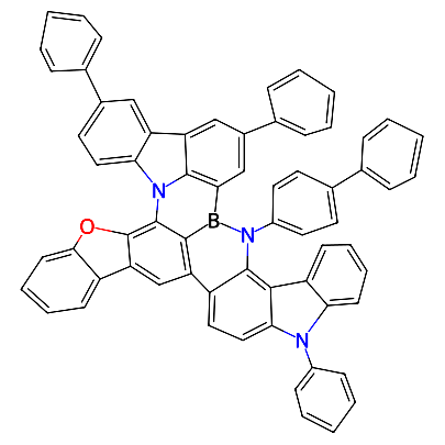 c1ccc(-c2ccc(N3B4c5c(cc6c(oc7ccccc76)c5-n5c6ccc(-c7ccccc7)cc6c6cc(-c7ccccc7)cc4c65)-c4ccc5c(c43)c3ccccc3n5-c3ccccc3)cc2)cc1